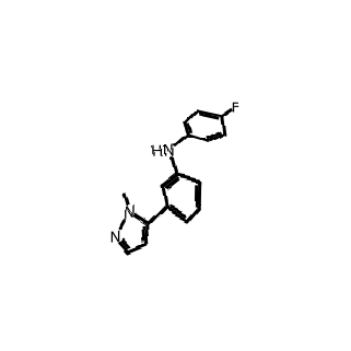 Cn1nccc1-c1cccc(Nc2ccc(F)cc2)c1